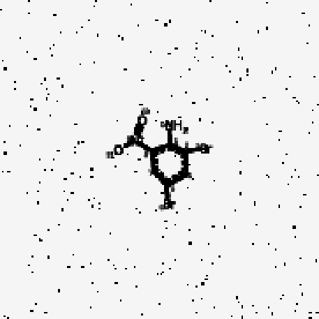 Nc1c(Br)cc(Br)cc1[N+](=O)[O-]